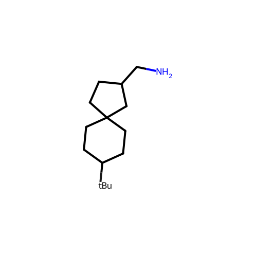 CC(C)(C)C1CCC2(CCC(CN)C2)CC1